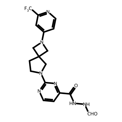 O=CNNC(=O)c1ccnc(N2CCC3(CN(c4ccnc(C(F)(F)F)c4)C3)C2)n1